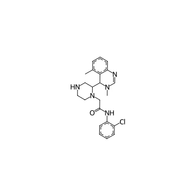 Cc1cccc2c1C(C1CNCCN1CC(=O)Nc1ccccc1Cl)N(C)C=N2